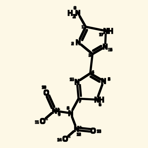 Nc1nc(-c2n[nH]c(N([N+](=O)[O-])[N+](=O)[O-])n2)n[nH]1